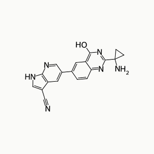 N#Cc1c[nH]c2ncc(-c3ccc4nc(C5(N)CC5)nc(O)c4c3)cc12